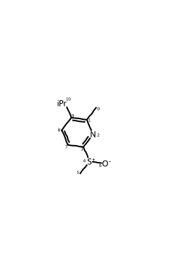 Cc1nc([S+](C)[O-])ccc1C(C)C